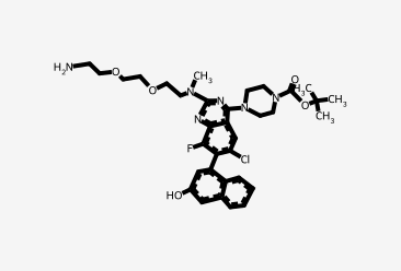 CN(CCOCCOCCN)c1nc(N2CCN(C(=O)OC(C)(C)C)CC2)c2cc(Cl)c(-c3cc(O)cc4ccccc34)c(F)c2n1